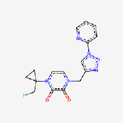 O=c1c(=O)n(C2(CF)CC2)ccn1Cc1cn(-c2ccccn2)nn1